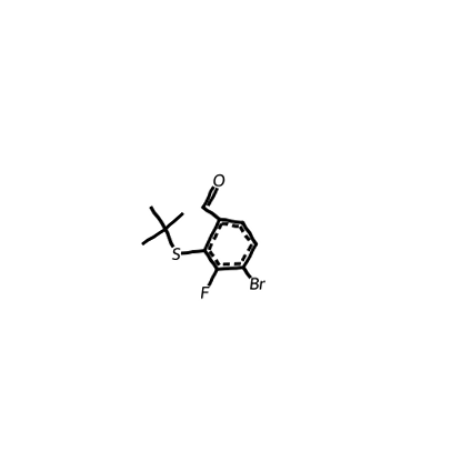 CC(C)(C)Sc1c(C=O)ccc(Br)c1F